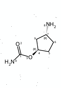 NC(=O)O[C@@H]1CC[C@@H](N)C1